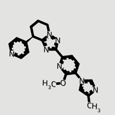 COc1nc(-c2nc3n(n2)CCC[C@@H]3c2ccncc2)ccc1-n1cnc(C)c1